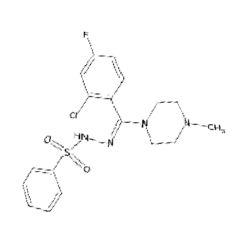 CN1CCN(C(=NNS(=O)(=O)c2ccccc2)c2ccc(F)cc2Cl)CC1